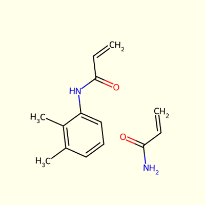 C=CC(=O)Nc1cccc(C)c1C.C=CC(N)=O